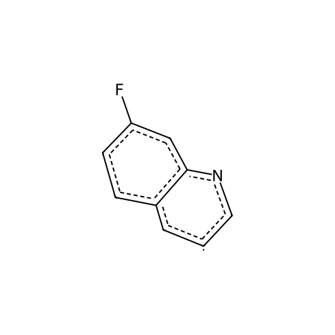 Fc1ccc2c[c]cnc2c1